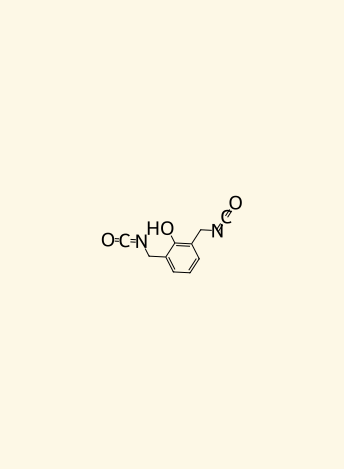 O=C=NCc1cccc(CN=C=O)c1O